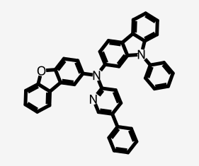 c1ccc(-c2ccc(N(c3ccc4oc5ccccc5c4c3)c3ccc4c5ccccc5n(-c5ccccc5)c4c3)nc2)cc1